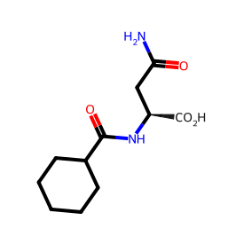 NC(=O)C[C@H](NC(=O)C1CCCCC1)C(=O)O